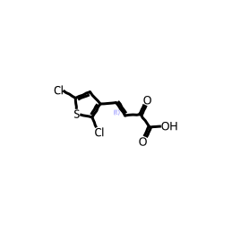 O=C(O)C(=O)/C=C/c1cc(Cl)sc1Cl